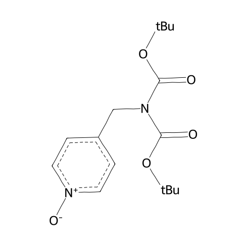 CC(C)(C)OC(=O)N(Cc1cc[n+]([O-])cc1)C(=O)OC(C)(C)C